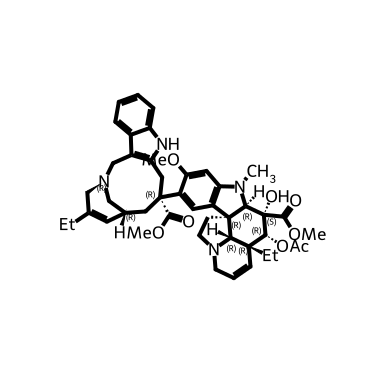 CCC1=C[C@@H]2C[N@@](C1)Cc1c([nH]c3ccccc13)C[C@@](C(=O)OC)(c1cc3c(cc1OC)N(C)[C@H]1[C@@](O)(C(=O)OC)[C@H](OC(C)=O)[C@]4(CC)C=CCN5CC[C@]31[C@@H]54)C2